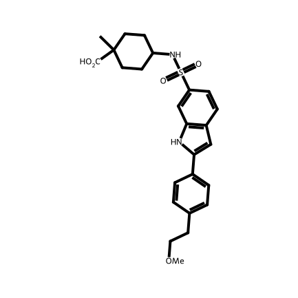 COCCc1ccc(-c2cc3ccc(S(=O)(=O)NC4CCC(C)(C(=O)O)CC4)cc3[nH]2)cc1